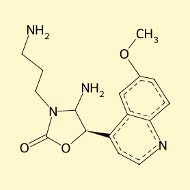 COc1ccc2nccc([C@H]3OC(=O)N(CCCN)C3N)c2c1